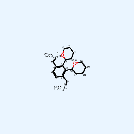 O=C(O)Cc1ccc(CC(=O)O)c(C2CCCCO2)c1C1CCCCO1